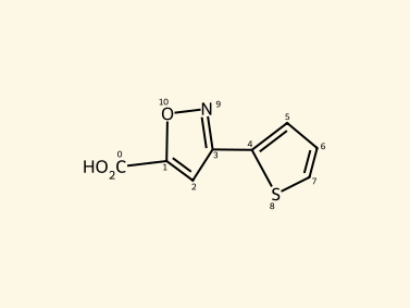 O=C(O)c1cc(-c2cccs2)no1